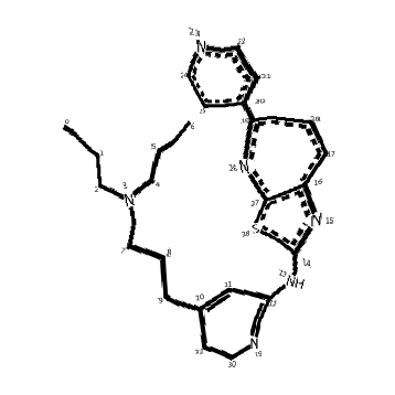 CCCN(CCC)CCCC1=CC(Nc2nc3ccc(-c4ccncc4)nc3s2)=NCC1